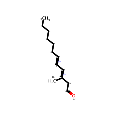 CCCCCC/C=C/C=C(\C)C[C]=O